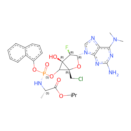 CC(C)OC(=O)[C@H](C)N[P@@](=O)(Oc1cccc2ccccc12)OC1[C@@]2(CCl)O[C@@H](n3cnc4c(N(C)C)nc(N)nc43)[C@H](F)[C@@]12O